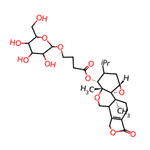 CC(C)C1C[C@@H]2O[C@@]23[C@@]2(C)CCC4=C(COC4=O)C2CO[C@]3(C)[C@@H]1OC(=O)CCCOC1OC(CO)C(O)C(O)C1O